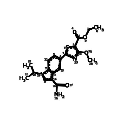 CCOC(=O)c1sc(-c2ccc3c(c2)c(C(N)=O)cn3C(C)C)nc1OC